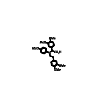 COc1ccc(N(CCc2ccc(OC)c(OC)c2)C(C(=O)O)c2ccc(OC)c(OC)c2)cc1